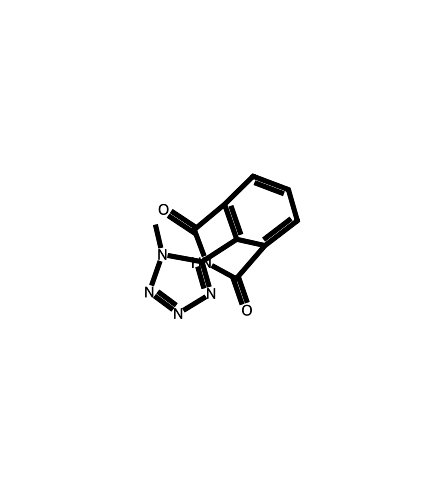 Cn1nnnc1-c1c2cccc1C(=O)NC2=O